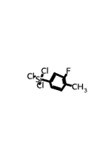 Cc1ccc([Si](Cl)(Cl)Cl)cc1F